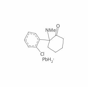 CNC1(c2ccccc2Cl)CCCCC1=O.[PbH2]